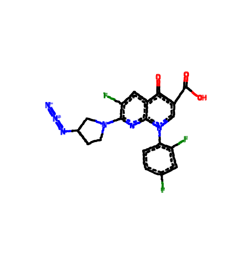 [N-]=[N+]=NC1CCN(c2nc3c(cc2F)c(=O)c(C(=O)O)cn3-c2ccc(F)cc2F)C1